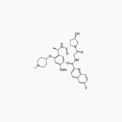 COc1ccc([C@@H](C)NC(=O)[C@@H]2C[C@@H](O)CN2C(=O)CNC(=O)c2ccc3cc(F)ccc3n2)c(OC2CCN(C)CC2)c1